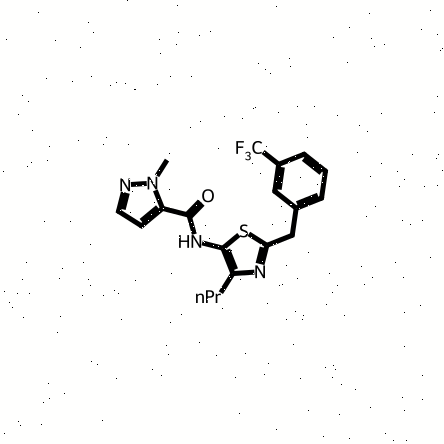 CCCc1nc(Cc2cccc(C(F)(F)F)c2)sc1NC(=O)c1ccnn1C